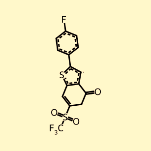 O=C1CC(S(=O)(=O)C(F)(F)F)=Cc2sc(-c3ccc(F)cc3)[c]c21